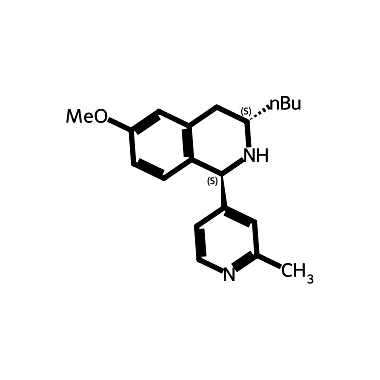 CCCC[C@H]1Cc2cc(OC)ccc2[C@H](c2ccnc(C)c2)N1